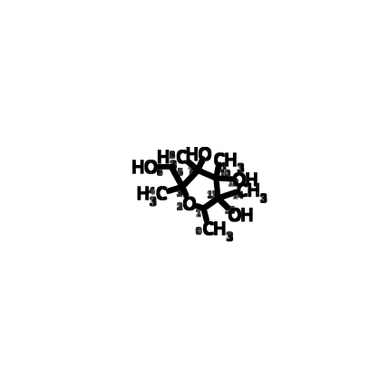 CC1OC(C)(CO)C(C)(O)C(C)(O)C1(C)O